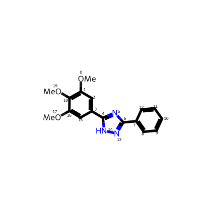 COc1cc(-c2nc(-c3ccccc3)n[nH]2)cc(OC)c1OC